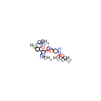 CCN(C(=O)c1cc(F)ccc1-c1cc(C2CCN(CC3(O)CCC(NC(=O)OC(C)(C)C)CC3)C2)cn2c(C)ncc12)C(C)C